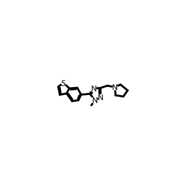 Cn1nc(CN2CCCC2)nc1-c1ccc2ccsc2c1